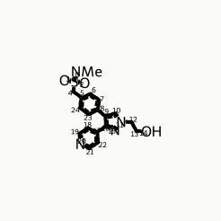 CNS(=O)(=O)Cc1ccc(-c2cn(CCO)nc2-c2ccncc2)cc1